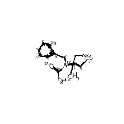 CC(CN)(CF)N(Cc1ccccc1)C(=O)O